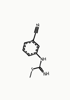 CSC(=N)Nc1cccc(C#N)c1